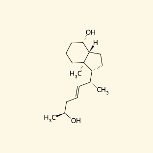 C[C@H](O)C/C=C/[C@@H](C)[C@H]1CC[C@H]2[C@@H](O)CCC[C@]12C